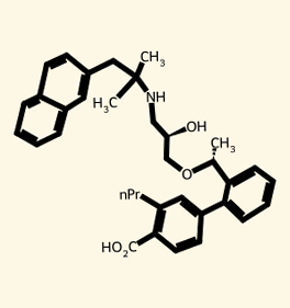 CCCc1cc(-c2ccccc2[C@@H](C)OC[C@H](O)CNC(C)(C)Cc2ccc3ccccc3c2)ccc1C(=O)O